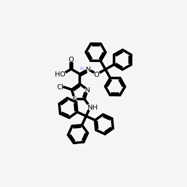 O=C(O)/C(=N/OC(c1ccccc1)(c1ccccc1)c1ccccc1)c1nc(NC(c2ccccc2)(c2ccccc2)c2ccccc2)sc1Cl